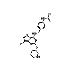 CCC(=O)Nc1ccc(CNc2nc(O[C@H]3CCCNC3)nc3c(C(C)C)cnn23)cc1